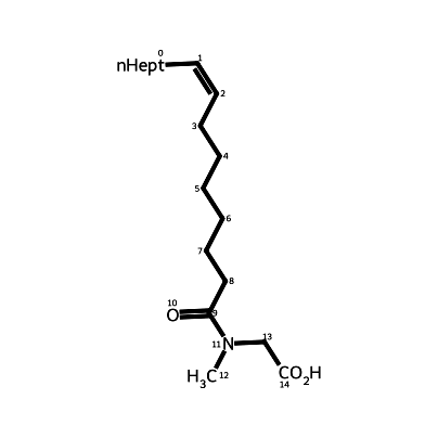 CCCCCCC/C=C\CCCCCCC(=O)N(C)CC(=O)O